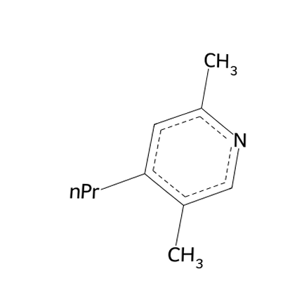 CCCc1cc(C)ncc1C